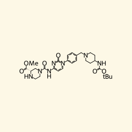 COC(=O)[C@@H]1CN(C(=O)Nc2ccn(-c3ccc(CN4CCC(NC(=O)OC(C)(C)C)CC4)cc3)c(=O)n2)CCN1